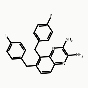 Nc1nc2ccc(Cc3ccc(F)cc3)c(Cc3ccc(F)cc3)c2nc1N